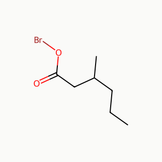 CCCC(C)CC(=O)OBr